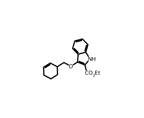 CCOC(=O)c1[nH]c2ccccc2c1OCC1C=CCCC1